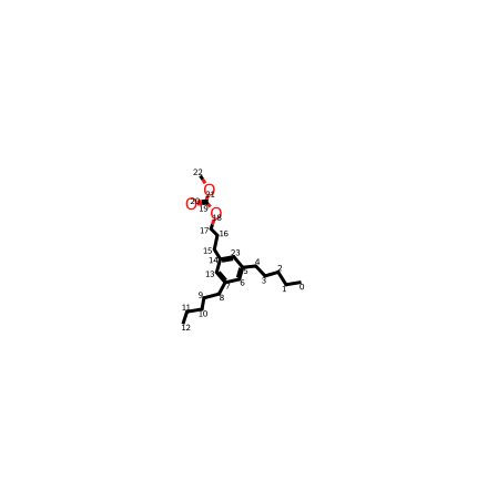 CCCCCc1cc(CCCCC)cc(CCCOC(=O)OC)c1